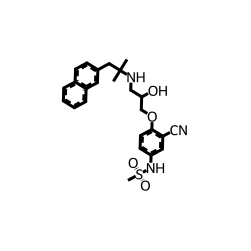 CC(C)(Cc1ccc2ccccc2c1)NCC(O)COc1ccc(NS(C)(=O)=O)cc1C#N